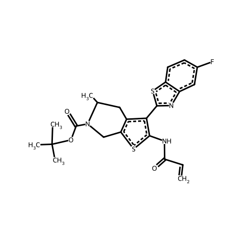 C=CC(=O)Nc1sc2c(c1-c1nc3cc(F)ccc3s1)CC(C)N(C(=O)OC(C)(C)C)C2